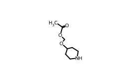 CC(=O)OCOC1CCNCC1